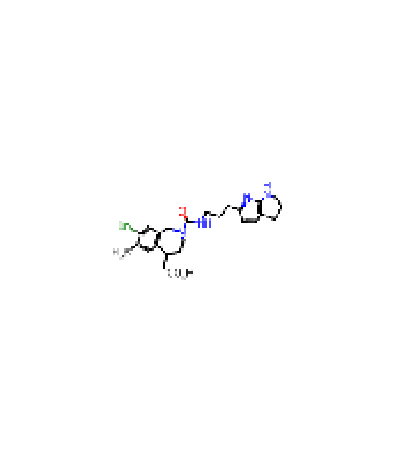 Bc1cc2c(cc1Br)CN(C(=O)NCCCc1ccc3c(n1)NCCC3)CCC2CC(=O)O